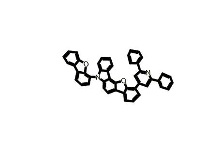 c1ccc(-c2cc(-c3cccc4c3oc3c4ccc4c3c3ccccc3n4-c3cccc4c3oc3ccccc34)cc(-c3ccccc3)n2)cc1